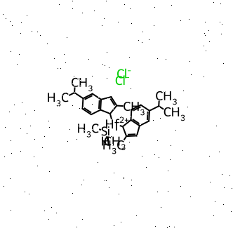 CC1=Cc2cc(C(C)C)ccc2[CH]1[Hf+2]([CH]1C(C)=Cc2cc(C(C)C)ccc21)[SiH](C)C.[Cl-].[Cl-]